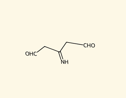 N=C(CC=O)CC=O